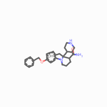 NC(=O)C1CCCN([CH]C=O)C1(Cc1ccc(OCc2ccccc2)cc1)C1CCNCC1